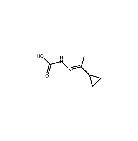 CC(=NNC(=O)O)C1CC1